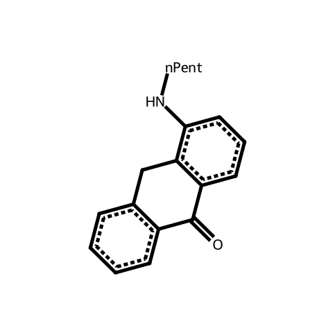 CCCCCNc1cccc2c1Cc1ccccc1C2=O